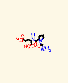 NCC(=O)N1CCCC1C(=O)NC(CCC(=O)O)C(=O)O